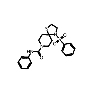 O=C(Nc1ccccc1)N1CCC2(CC1)SCCN2S(=O)(=O)c1ccccc1